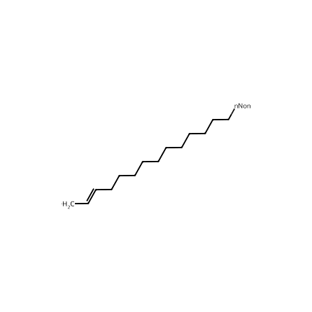 [CH2]C=CCCCCCCCCCCCCCCCCCCC[CH2]